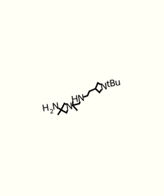 CC1(N)CN(C(C)(C)CNCCC2CN(C(C)(C)C)C2)C1